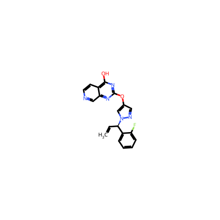 C=C[C@H](c1ccccc1F)n1cc(Oc2nc(O)c3ccncc3n2)cn1